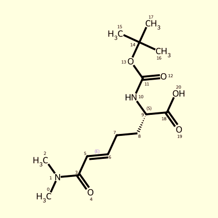 CN(C)C(=O)/C=C/CC[C@H](NC(=O)OC(C)(C)C)C(=O)O